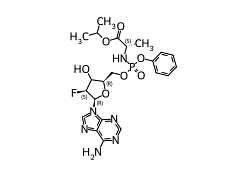 CC(C)OC(=O)[C@H](C)NP(=O)(OC[C@H]1O[C@@H](n2cnc3c(N)ncnc32)[C@@H](F)C1O)Oc1ccccc1